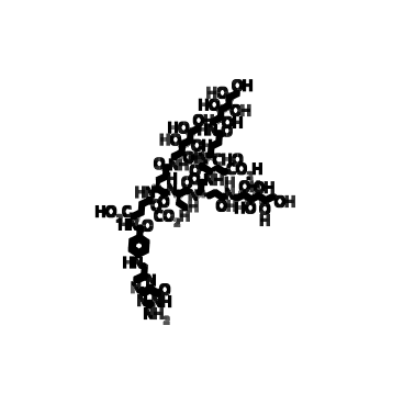 Nc1nc2ncc(CNc3ccc(C(=O)N[C@@H](CCC(=O)N[C@@H](CCC(=O)NC[C@H](O)[C@@H](O)[C@H](O)[C@H](O)CO)C(=O)N[C@H](CCC(=O)O)C(=O)N[C@@H](CCC(O)NC[C@H](O)[C@@H](O)[C@H](O)[C@H](O)CO)C(=O)N[C@H](CCC(=O)O)C(=O)N[C@H](C=O)CCC(=O)NC[C@H](O)[C@@H](O)[C@H](O)[C@H](O)CO)C(=O)O)cc3)nc2c(=O)[nH]1